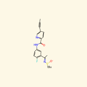 CC#Cc1ccc(C(=O)Nc2ccc(F)c(C(C)=N[S+]([O-])C(C)(C)C)c2)nc1